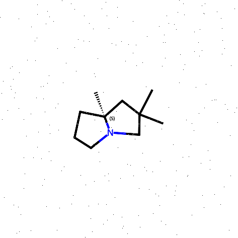 CC1(C)CN2CCC[C@@]2(C)C1